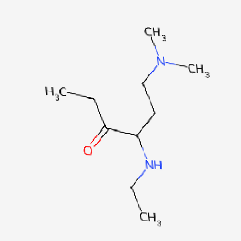 CCNC(CCN(C)C)C(=O)CC